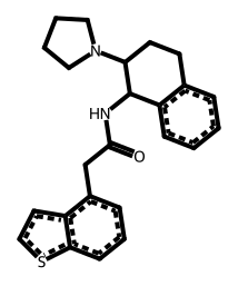 O=C(Cc1cccc2sccc12)NC1c2ccccc2CCC1N1CCCC1